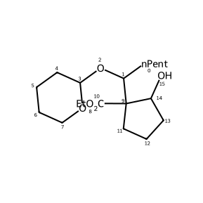 CCCCCC(OC1CCCCO1)C1(C(=O)OCC)CCCC1O